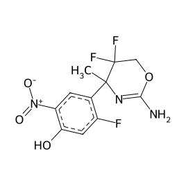 CC1(c2cc([N+](=O)[O-])c(O)cc2F)N=C(N)OCC1(F)F